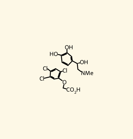 CNC[C@H](O)c1ccc(O)c(O)c1.O=C(O)COc1cc(Cl)c(Cl)cc1Cl